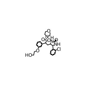 O=C1NC(CC(c2cccc(OCCO)c2)S(=O)(=O)N2CCOCC2)C(c2ccccc2Cl)N1